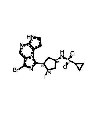 O=S(=O)(N[C@H]1C[C@@H](I)[C@@H](c2nc(Br)c3cnc4[nH]ccc4n23)C1)C1CC1